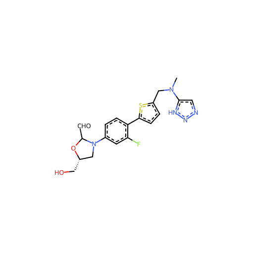 CN(Cc1ccc(-c2ccc(N3C[C@H](CO)OC3C=O)cc2F)s1)c1cnn[nH]1